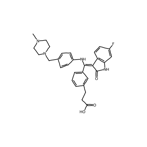 CN1CCN(Cc2ccc(NC(=C3C(=O)Nc4cc(F)ccc43)c3cccc(CCC(=O)O)c3)cc2)CC1